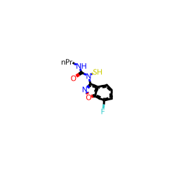 CCCNC(=O)N(S)c1noc2c(F)cccc12